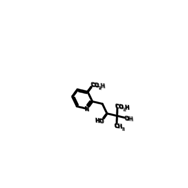 CC(O)(C(=O)O)C(O)Cc1ncccc1C(=O)O